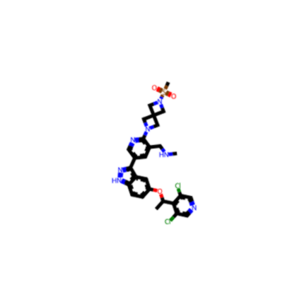 CNCc1cc(-c2n[nH]c3ccc(OC(C)c4c(Cl)cncc4Cl)cc23)cnc1N1CC2(C1)CN(S(C)(=O)=O)C2